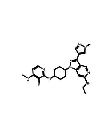 CCNc1cc2c(cn1)c(-c1cnn(C)c1)nn2C1CCC(Oc2nccc(NC)c2F)CC1